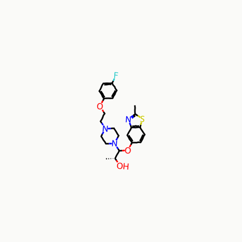 Cc1nc2cc(OC([C@@H](C)O)N3CCN(CCOc4ccc(F)cc4)CC3)ccc2s1